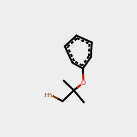 CC(C)(CS)Oc1cc[c]cc1